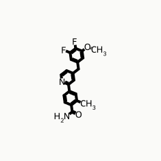 COc1cc(Cc2ccnc(-c3ccc(C(N)=O)c(C)c3)c2)cc(F)c1F